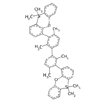 Cc1ccc(-c2ccc(C)c(-c3cccc4c3Oc3ccccc3[Si]4(C)C)c2C)c(C)c1-c1cccc2c1Oc1ccccc1[Si]2(C)C